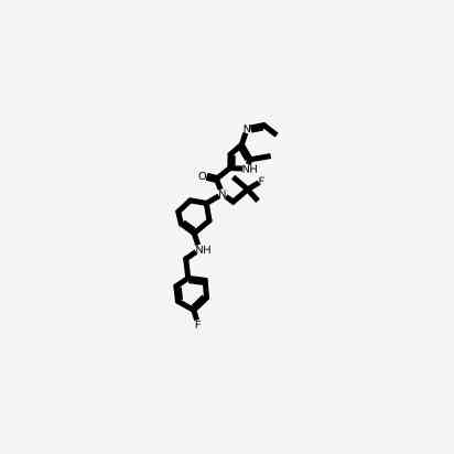 C/C=N\c1cc(C(=O)N(CC(C)(C)F)C2CCC=C(NCc3ccc(F)cc3)C2)[nH]c1C